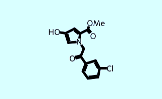 COC(=O)c1cc(O)cn1CC(=O)c1cccc(Cl)c1